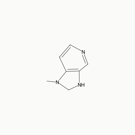 CN1CNc2cnccc21